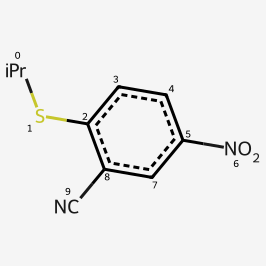 CC(C)Sc1ccc([N+](=O)[O-])cc1C#N